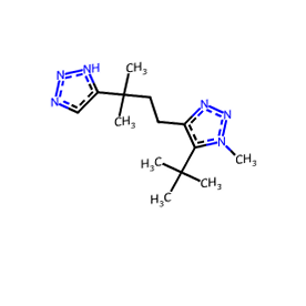 Cn1nnc(CCC(C)(C)c2cnn[nH]2)c1C(C)(C)C